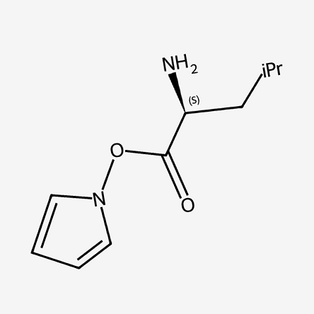 CC(C)C[C@H](N)C(=O)On1cccc1